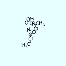 CC[C@H]1CC[C@@H](Oc2ccc3ccc(C(C)N4CCC(C(=O)O)CC4)cc3c2C#N)CC1